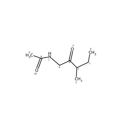 CCC(C)C(=O)CNC(C)=O